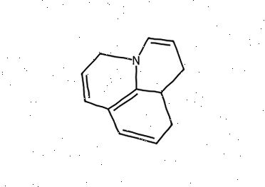 C1=CC2=C3C(C1)CC=CN3CC=C2